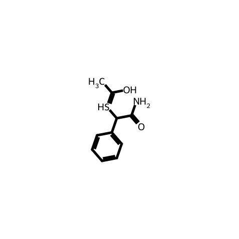 CC(O)=[SH]C(C(N)=O)c1ccccc1